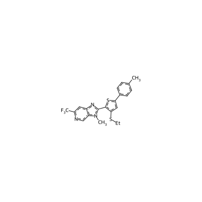 CCSc1cc(-c2ccc(C)cc2)sc1-c1nc2cc(C(F)(F)F)ncc2n1C